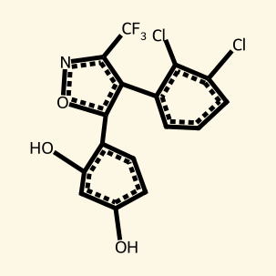 Oc1ccc(-c2onc(C(F)(F)F)c2-c2cccc(Cl)c2Cl)c(O)c1